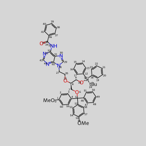 COc1ccc(C(OC[C@H](CO[Si](c2ccccc2)(c2ccccc2)C(C)(C)C)OCCn2cnc3c(NC(=O)c4ccccc4)ncnc32)(c2ccccc2)c2ccc(OC)cc2)cc1